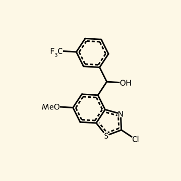 COc1cc(C(O)c2cccc(C(F)(F)F)c2)c2nc(Cl)sc2c1